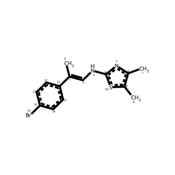 C/C(=C\Nc1nc(C)c(C)s1)c1ccc(Br)cc1